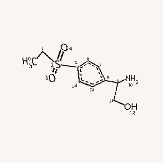 CCS(=O)(=O)c1ccc(C(N)CO)cc1